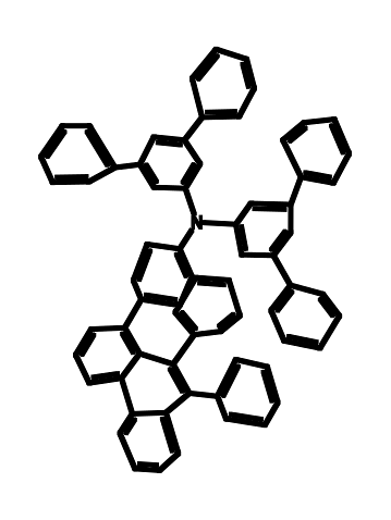 c1ccc(-c2cc(-c3ccccc3)cc(N(c3ccc(-c4cccc5c4c(-c4ccccc4)c(-c4ccccc4)c4ccccc45)cc3)c3cc(-c4ccccc4)cc(-c4ccccc4)c3)c2)cc1